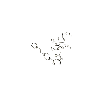 COc1cc(C)c(S(=O)(=O)N(CC2=NNC(C(=O)N3CCN(CCN4CCCC4)CC3)O2)C2CC2)c(C)c1